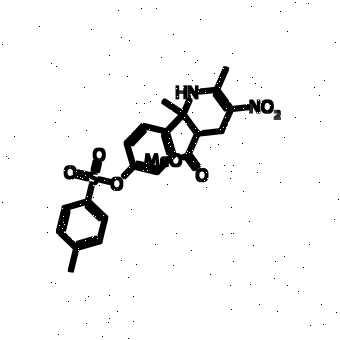 COC(=O)C1CC([N+](=O)[O-])=C(C)NC1(C)c1ccc(OS(=O)(=O)c2ccc(C)cc2)cc1